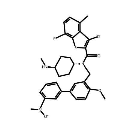 CN[C@H]1CC[C@H](N(Cc2cc(-c3cccc([S+](C)[O-])c3)ccc2OC)C(=O)c2sc3c(F)ccc(C)c3c2Cl)CC1